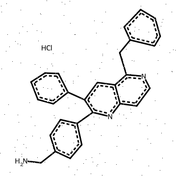 Cl.NCc1ccc(-c2nc3ccnc(Cc4ccccc4)c3cc2-c2ccccc2)cc1